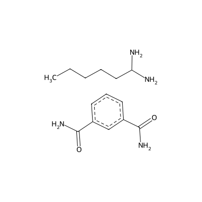 CCCCCC(N)N.NC(=O)c1cccc(C(N)=O)c1